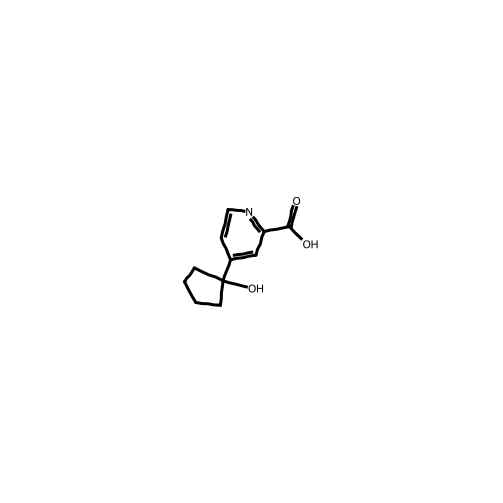 O=C(O)c1cc(C2(O)CCCC2)ccn1